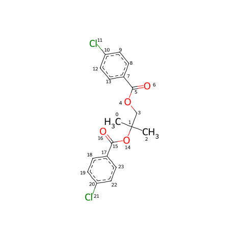 CC(C)(COC(=O)c1ccc(Cl)cc1)OC(=O)c1ccc(Cl)cc1